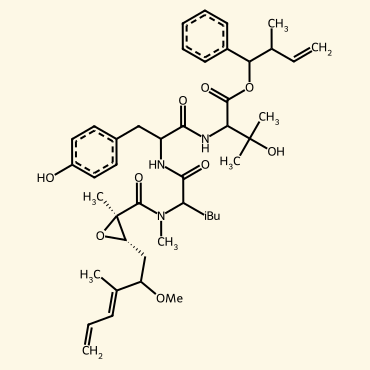 C=C/C=C(\C)C(C[C@@H]1O[C@@]1(C)C(=O)N(C)C(C(=O)NC(Cc1ccc(O)cc1)C(=O)NC(C(=O)OC(c1ccccc1)C(C)C=C)C(C)(C)O)C(C)CC)OC